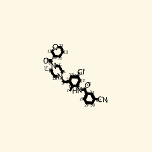 Cc1c(CN2CCN(C(=O)[C@H]3CCCOC3)[C@@H](C)C2)cc(Cl)cc1NC(=O)c1cccc(C#N)c1